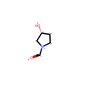 O=CN1CC[C@@H](O)C1